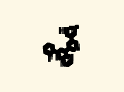 CN(C)/C=C(\C=N)c1cncc(-c2cc(-c3ccccc3F)nc3nccnc23)c1